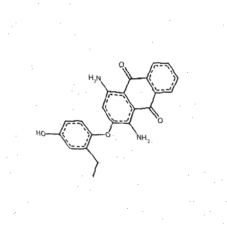 CCc1cc(O)ccc1Oc1cc(N)c2c(c1N)C(=O)c1ccccc1C2=O